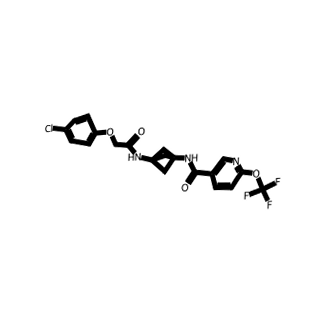 O=C(COc1ccc(Cl)cc1)NC12CC(NC(=O)c3ccc(OC(F)(F)F)nc3)(C1)C2